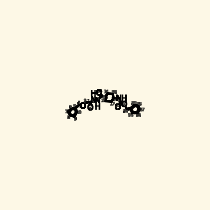 O=C(COCc1ccccc1)NNC(=O)[C@H]1CC[C@H](NC(=O)OCc2ccccc2)CC1